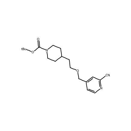 CC(C)(C)OC(=O)N1CCC(CCOCc2ccnc(C#N)c2)CC1